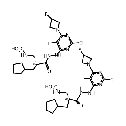 O=C(O)NC[C@@H](CC1CCCC1)C(=O)NNc1nc(Cl)nc(N2CC(F)C2)c1F.O=C(O)NC[C@@H](CC1CCCC1)C(=O)NNc1nc(Cl)nc(N2CC(F)C2)c1F